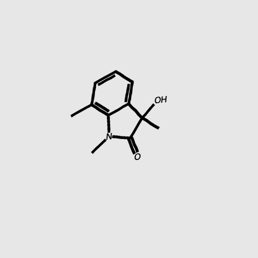 Cc1cccc2c1N(C)C(=O)C2(C)O